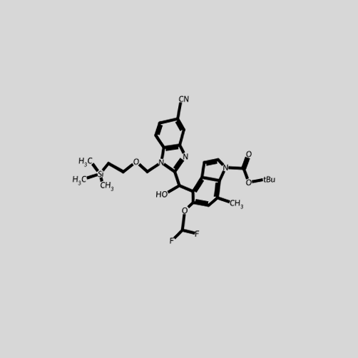 Cc1cc(OC(F)F)c(C(O)c2nc3cc(C#N)ccc3n2COCC[Si](C)(C)C)c2ccn(C(=O)OC(C)(C)C)c12